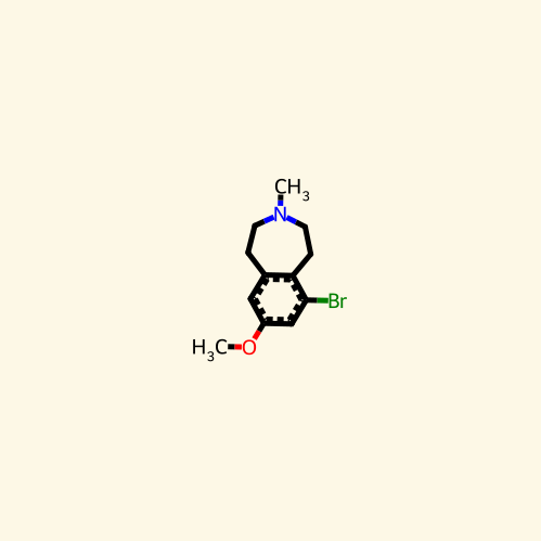 COc1cc(Br)c2c(c1)CCN(C)CC2